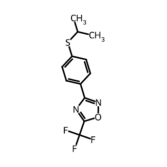 CC(C)Sc1ccc(-c2noc(C(F)(F)F)n2)cc1